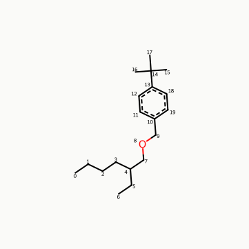 CCCCC(CC)COCc1ccc(C(C)(C)C)cc1